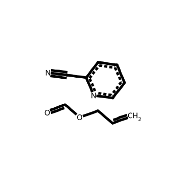 C=CCOC=O.N#Cc1ccccn1